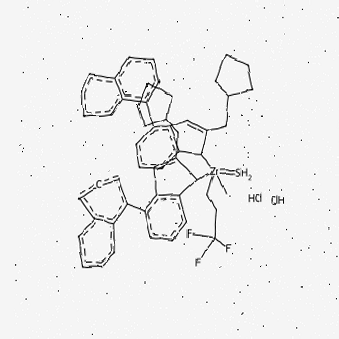 Cl.Cl.[CH3][Zr](=[SiH2])([CH2]CC(F)(F)F)([CH]1C(CC2CCCC2)=Cc2c(-c3cccc4ccccc34)cccc21)[CH]1C(CC2CCCC2)=Cc2c(-c3cccc4ccccc34)cccc21